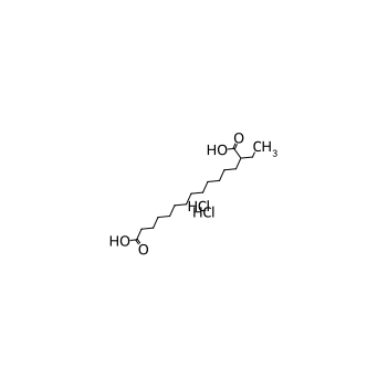 CCC(CCCCCCCCCCCCC(=O)O)C(=O)O.Cl.Cl